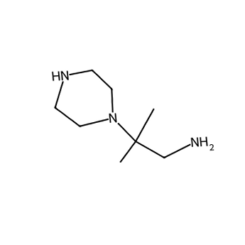 CC(C)(CN)N1CCNCC1